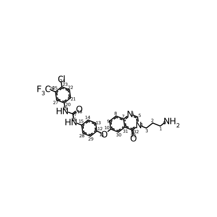 NCCCn1cnc2ccc(Oc3ccc(NC(=O)Nc4ccc(Cl)c(C(F)(F)F)c4)cc3)cc2c1=O